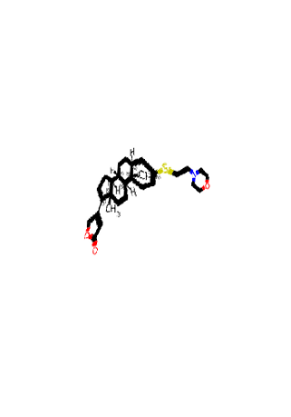 C[C@]12CC[C@H](SCCN3CCOCC3)C[C@@H]1CC[C@@H]1[C@@H]2CC[C@]2(C)[C@@H](C3=CC(=O)OC3)CC[C@@H]12